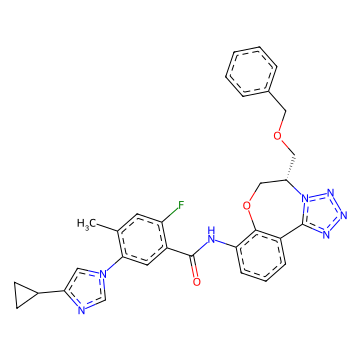 Cc1cc(F)c(C(=O)Nc2cccc3c2OC[C@H](COCc2ccccc2)n2nnnc2-3)cc1-n1cnc(C2CC2)c1